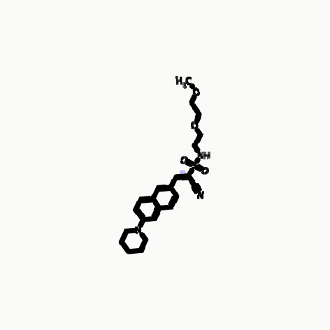 COCCOCCNS(=O)(=O)/C(C#N)=C/c1ccc2cc(N3CCCCC3)ccc2c1